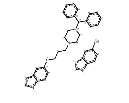 Oc1ccc2ncsc2c1.c1ccc(C(c2ccccc2)N2CCN(CCCOc3ccc4ncsc4c3)CC2)cc1